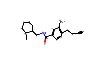 C#CCCc1ccc(C(=O)NCC2CCCCC2C)cc1OC